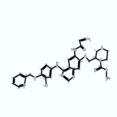 C=CC(=O)Nc1cc2c(Nc3ccc(OCc4ccccn4)c(Cl)c3)ncnc2cc1OCC1COCCN1C(=O)OC(C)(C)C